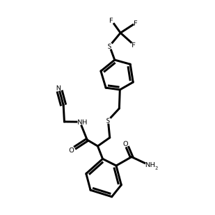 N#CCNC(=O)C(CSCc1ccc(SC(F)(F)F)cc1)c1ccccc1C(N)=O